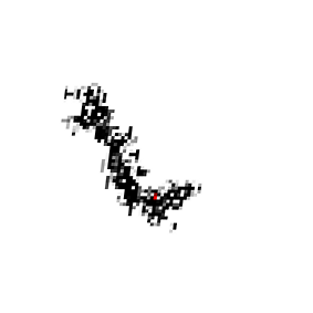 COc1c(N2CCN(Cc3oc(=O)oc3CN3CCN(c4c(F)cc5c(=O)c(C(=O)OCC(=O)[C@@]6(O)[C@@H](C)CC7C8CCC9=CC(=O)C=C[C@]9(C)[C@@]8(F)[C@@H](O)C[C@@]76C)cn(C6CC6)c5c4OC)CC3C)C(C)C2)c(F)cc2c(=O)c(C(=O)O)cn(C3CC3)c12